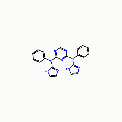 c1ccc(N(c2ncnc(N(c3ccccc3)c3ncc[nH]3)n2)c2ncc[nH]2)cc1